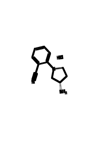 Cl.N#Cc1ccccc1N1CC[C@H](N)C1